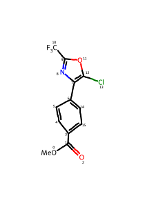 COC(=O)c1ccc(-c2nc(C(F)(F)F)oc2Cl)cc1